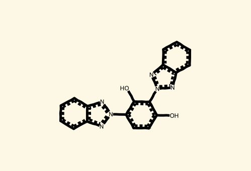 Oc1[c]cc(-n2nc3ccccc3n2)c(O)c1-n1nc2ccccc2n1